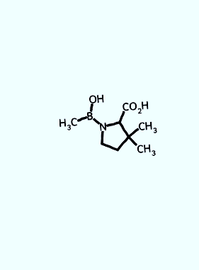 CB(O)N1CCC(C)(C)C1C(=O)O